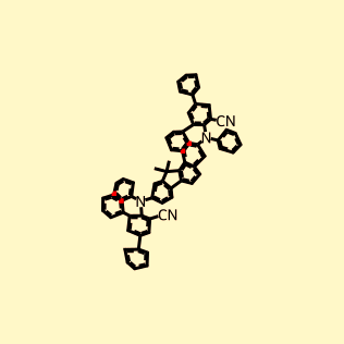 CC1(C)c2cc(N(c3ccccc3)c3c(C#N)cc(-c4ccccc4)cc3-c3ccccc3)ccc2-c2ccc3cc(N(c4ccccc4)c4c(C#N)cc(-c5ccccc5)cc4-c4ccccc4)ccc3c21